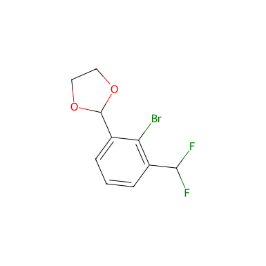 FC(F)c1cccc(C2OCCO2)c1Br